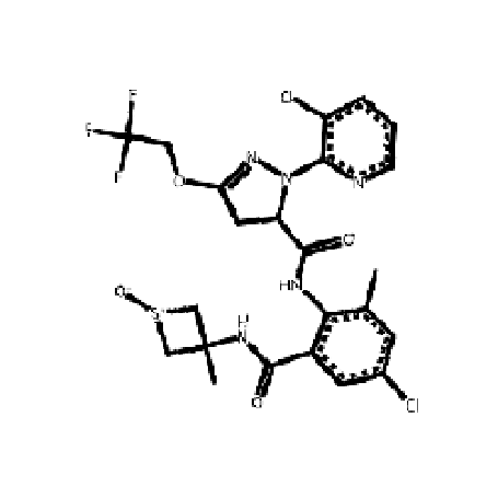 Cc1cc(Cl)cc(C(=O)NC2(C)C[S+]([O-])C2)c1NC(=O)C1CC(OCC(F)(F)F)=NN1c1ncccc1Cl